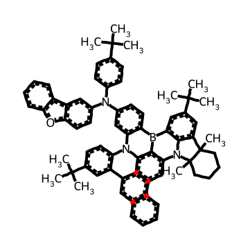 CC(C)(C)c1ccc(N(c2ccc3c(c2)N(c2ccc(C(C)(C)C)cc2-c2ccccc2)c2cc(-c4ccccc4)cc4c2B3c2cc(C(C)(C)C)cc3c2N4C2(C)CCCCC32C)c2ccc3oc4ccccc4c3c2)cc1